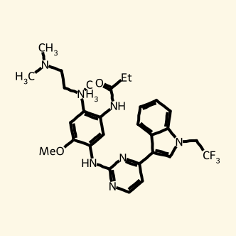 CCC(=O)Nc1cc(Nc2nccc(-c3cn(CC(F)(F)F)c4ccccc34)n2)c(OC)cc1N(C)CCN(C)C